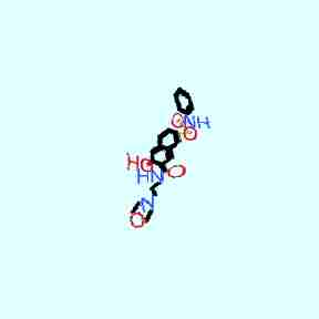 O=C(NCCCN1CCOCC1)c1cc2cc(S(=O)(=O)Nc3ccccc3)ccc2cc1O